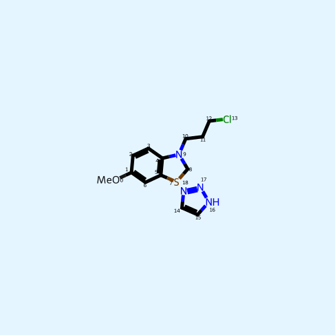 COc1ccc2c(c1)SCN2CCCCl.c1c[nH]nn1